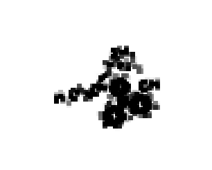 CCN=C=NCCCN(C)C.Cl.c1ccc(P(c2ccccc2)[C]23[CH]4[CH]5[CH]6[CH]2[Fe]56432789[CH]3[CH]2[CH]7[C]8(P(c2ccccc2)c2ccccc2)[CH]39)cc1